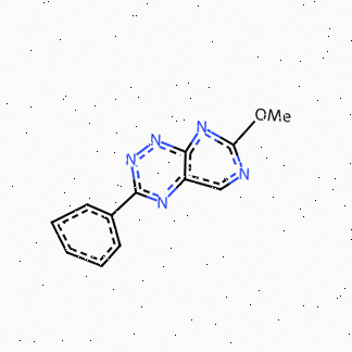 COc1ncc2nc(-c3ccccc3)nnc2n1